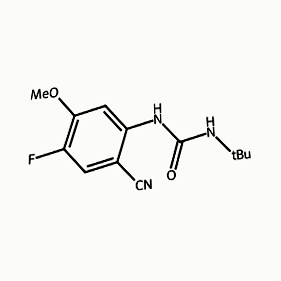 COc1cc(NC(=O)NC(C)(C)C)c(C#N)cc1F